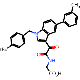 Cc1cccc(-c2ccc3c(c2)c(C(=O)C(=O)NCC(=O)O)cn3Cc2ccc(C(C)(C)C)cc2)c1